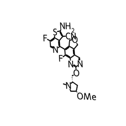 CO[C@H]1C[C@@H](COc2ncc3c4c(c(-c5ncc(F)c6sc(N)c(C#N)c56)c(F)c3n2)COC4)N(C)C1